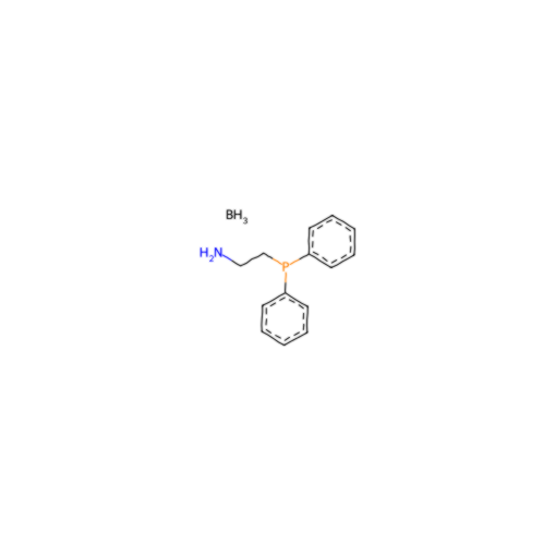 B.NCCP(c1ccccc1)c1ccccc1